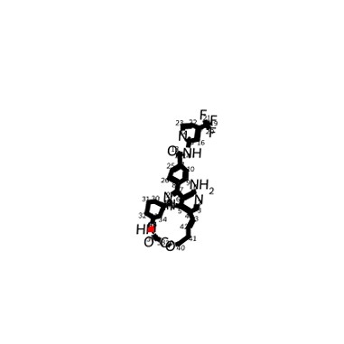 Nc1ncc2c3c1c(-c1ccc(C(=O)Nc4cc(C(F)(F)F)ccn4)cc1)nn3[C@@H]1CCC[C@H](C1)NC(=O)COCC/C=C/2